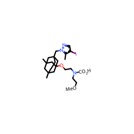 COCCN(CCOC12CC3(C)CC(C)(CC(Cn4ncc(I)c4C)(C3)C1)C2)C(=O)O